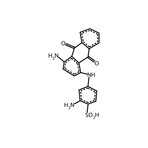 Nc1cc(Nc2ccc(N)c3c2C(=O)c2ccccc2C3=O)ccc1S(=O)(=O)O